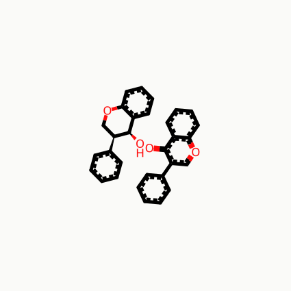 O=c1c(-c2ccccc2)coc2ccccc12.O[C@@H]1c2ccccc2OC[C@@H]1c1ccccc1